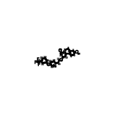 COc1ccc2c(c1)CCn1c-2cc(OCCc2ccc(Oc3cccc(C(F)(F)F)c3)cn2)nc1=O